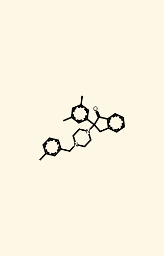 Cc1cccc(CN2CCN(C3(c4cc(C)cc(C)c4)Cc4ccccc4C3=O)CC2)c1